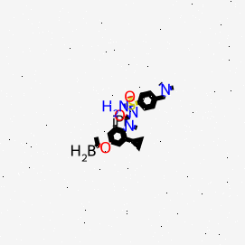 BC(C)Oc1cc(C(C)C)c(N(C)C(=O)N=S(N)(=O)c2ccc(CN(C)C)cc2)c(C2CC2)c1